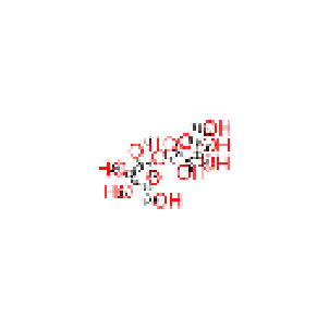 CO[C@H]1[C@@H](OC[C@@]2(O)O[C@](O)(CO)[C@@H](O)[C@@H]2O)O[C@H](CO)[C@@H](O)[C@@H]1O